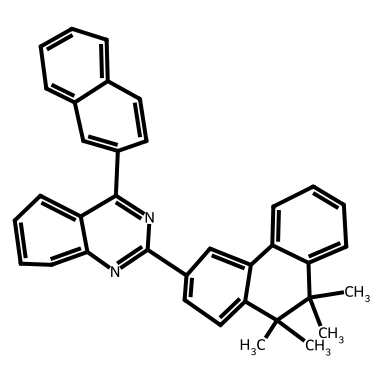 CC1(C)c2ccccc2-c2cc(-c3nc(-c4ccc5ccccc5c4)c4ccccc4n3)ccc2C1(C)C